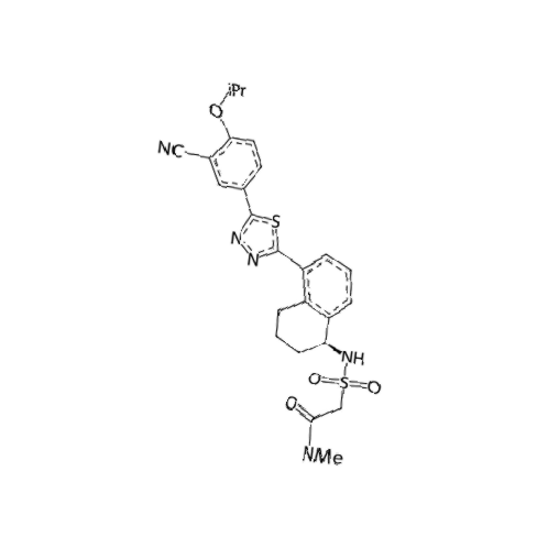 CNC(=O)CS(=O)(=O)N[C@H]1CCCc2c(-c3nnc(-c4ccc(OC(C)C)c(C#N)c4)s3)cccc21